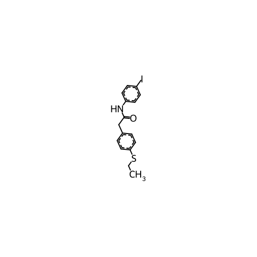 CCSc1ccc(CC(=O)Nc2ccc(I)cc2)cc1